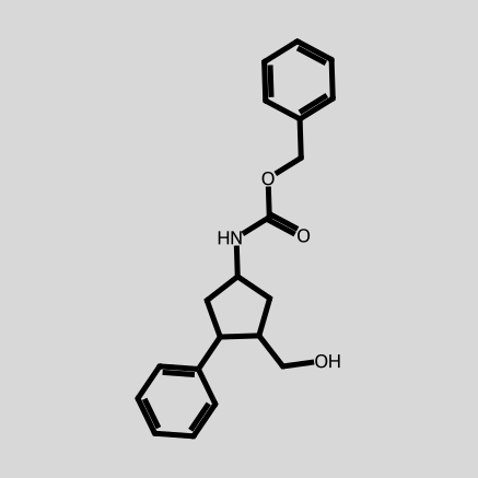 O=C(NC1CC(CO)C(c2ccccc2)C1)OCc1ccccc1